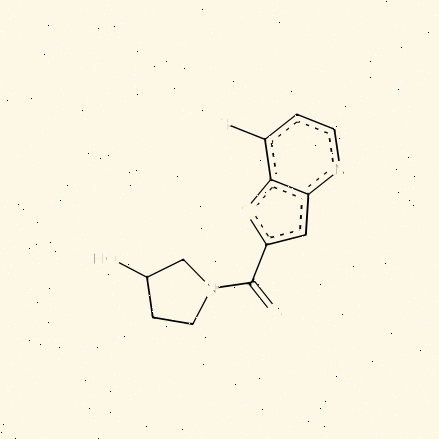 O=C(c1cc2nccc(Cl)c2s1)N1CCC(O)C1